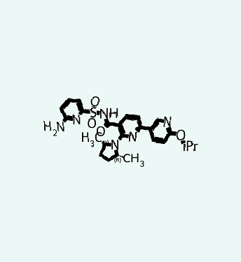 CC(C)Oc1ccc(-c2ccc(C(=O)NS(=O)(=O)c3cccc(N)n3)c(N3[C@H](C)CC[C@H]3C)n2)cn1